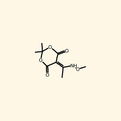 CONC(C)=C1C(=O)OC(C)(C)OC1=O